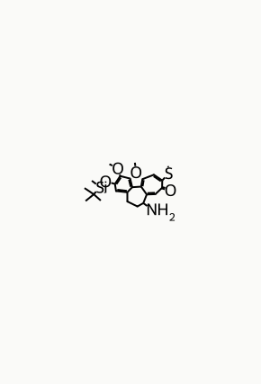 COc1c(O[Si](C)(C)C(C)(C)C)cc2c(c1OC)-c1ccc(SC)c(=O)cc1C(N)CC2